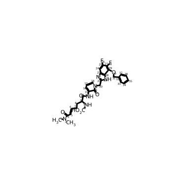 CN(C)C(=O)C=CCCC(NC(=O)O)C(=O)Nc1cccn(Cc2nc3cc(F)c(F)c(OCc4ccccc4)c3[nH]2)c1=O